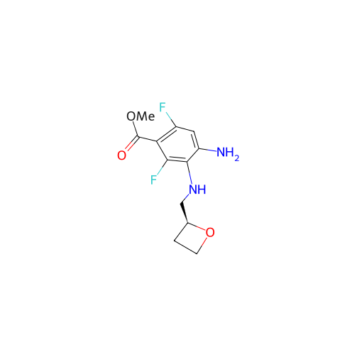 COC(=O)c1c(F)cc(N)c(NC[C@@H]2CCO2)c1F